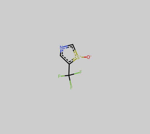 [O-][s+]1cncc1C(F)(F)F